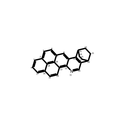 c1cc2ccc3cc4c5c(cnc4c4ccc(c1)c2c34)C1CCC5CC1